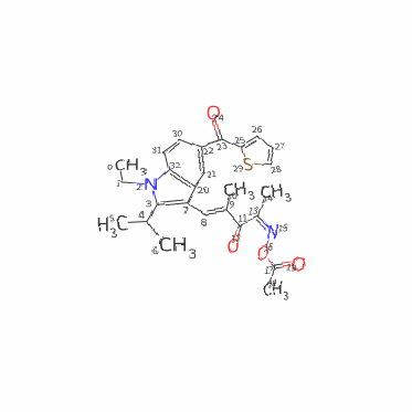 CCn1c(C(C)C)c(/C=C(\C)C(=O)/C(C)=N\OC(C)=O)c2cc(C(=O)c3cccs3)ccc21